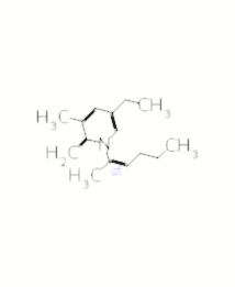 C=C1C(C)=CC(CC)=CN1/C(C)=C\CCC